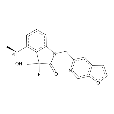 C[C@H](O)c1cccc2c1C(F)(F)C(=O)N2Cc1cc2ccoc2cn1